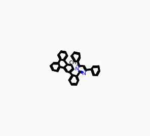 CC1C=C(c2ccccc2-c2nc(-c3ccccc3)cc(-c3ccccc3)n2)C=C2c3ccccc3-c3ccccc3C21